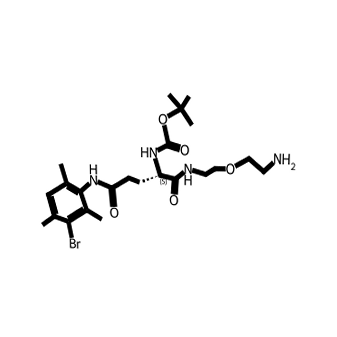 Cc1cc(C)c(NC(=O)CC[C@H](NC(=O)OC(C)(C)C)C(=O)NCCOCCN)c(C)c1Br